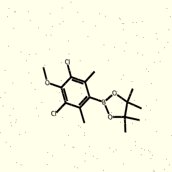 COc1c(Cl)c(C)c(B2OC(C)(C)C(C)(C)O2)c(C)c1Cl